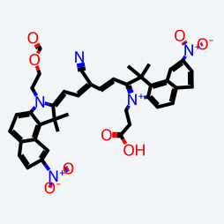 CC1(C)C(/C=C/C(C#N)=C/C=C2/N(CCOC=O)c3ccc4ccc([N+](=O)[O-])cc4c3C2(C)C)=[N+](CCC(=O)O)c2ccc3ccc([N+](=O)[O-])cc3c21